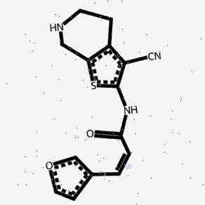 N#Cc1c(NC(=O)/C=C\c2ccoc2)sc2c1CCNC2